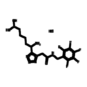 Cl.NC(CCCCB(O)O)c1nnnn1CC(=O)NCc1c(F)c(F)c(F)c(F)c1F